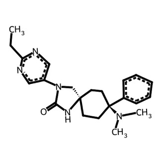 CCc1ncc(N2C[C@]3(CC[C@](c4ccccc4)(N(C)C)CC3)NC2=O)cn1